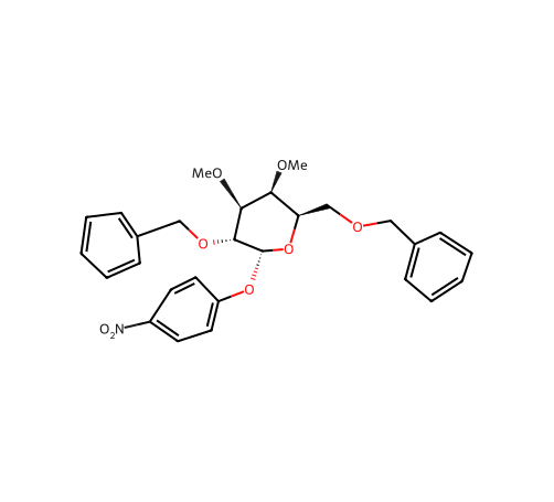 CO[C@H]1[C@@H](OC)[C@@H](COCc2ccccc2)O[C@H](Oc2ccc([N+](=O)[O-])cc2)[C@@H]1OCc1ccccc1